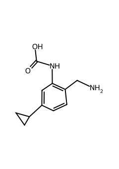 NCc1ccc(C2CC2)cc1NC(=O)O